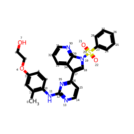 Cc1cc(OCCO)ccc1Nc1nccc(-c2cn(S(=O)(=O)c3ccccc3)c3ncccc23)n1